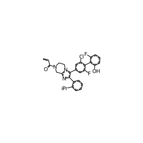 C=CC(=O)N1CCn2c(nc(-c3ccccc3C(C)C)c2-c2cc(F)c(-c3c(O)cccc3F)c(Cl)c2)C1